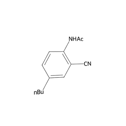 CCCCc1ccc(NC(C)=O)c(C#N)c1